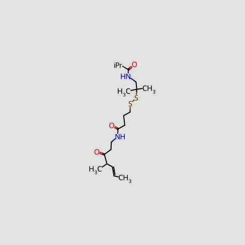 CC=CC(C)C(=O)CCNC(=O)CCCSSC(C)(C)CNC(=O)C(C)C